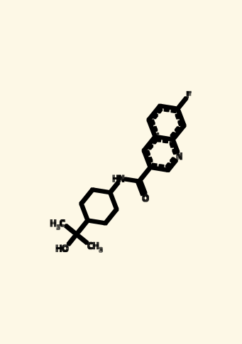 CC(C)(O)C1CCC(NC(=O)c2cnc3cc(F)ccc3c2)CC1